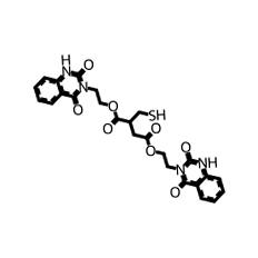 O=C(CC(CS)C(=O)OCCn1c(=O)[nH]c2ccccc2c1=O)OCCn1c(=O)[nH]c2ccccc2c1=O